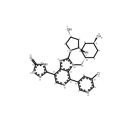 CC(C)[C@@H]1C[C@@H](O)CN1c1nc2c(-c3noc(=O)[nH]3)cnc(-c3cncc(Cl)c3)c2n1C[C@H]1CC[C@H](C)CC1